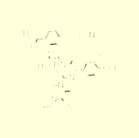 CCN1CCN(C(=O)NC(C(=O)N[C@H]2Cc3cccc(C(=O)O)c3OB2O)c2ccc(O)c(OCCN)c2)C(=O)C1=O